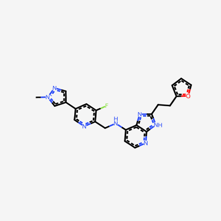 Cn1cc(-c2cnc(CNc3ccnc4[nH]c(CCc5ccco5)nc34)c(F)c2)cn1